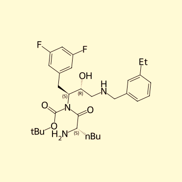 CCCC[C@H](N)C(=O)N(C(=O)OC(C)(C)C)[C@@H](Cc1cc(F)cc(F)c1)[C@H](O)CNCc1cccc(CC)c1